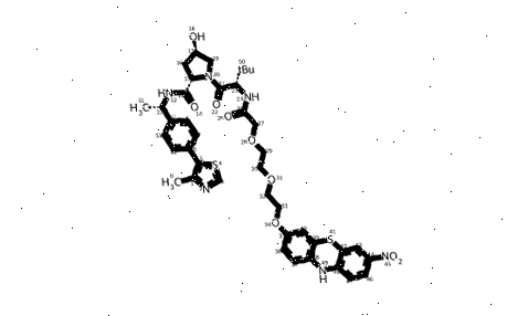 Cc1ncsc1-c1ccc([C@H](C)NC(=O)[C@@H]2C[C@@H](O)CN2C(=O)[C@@H](NC(=O)COCCOCCOc2ccc3c(c2)Sc2cc([N+](=O)[O-])ccc2N3)C(C)(C)C)cc1